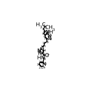 CC(C)Cc1cc2cc(CCCCn3cc(C(=O)NCc4ccccn4)nn3)nnc2[nH]1